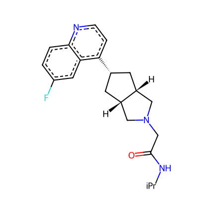 CC(C)NC(=O)CN1C[C@H]2C[C@@H](c3ccnc4ccc(F)cc34)C[C@H]2C1